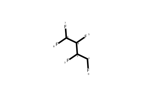 F[CH]C(F)C(F)C(F)F